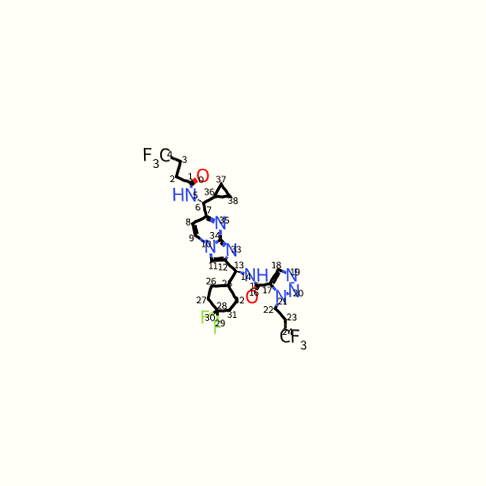 O=C(CCC(F)(F)F)N[C@@H](c1ccn2cc([C@@H](NC(=O)c3cnnn3CCC(F)(F)F)C3CCC(F)(F)CC3)nc2n1)C1CC1